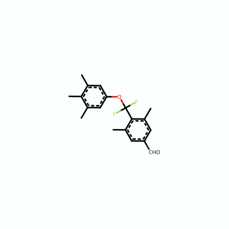 Cc1cc(OC(F)(F)c2c(C)cc(C=O)cc2C)cc(C)c1C